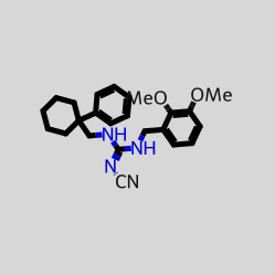 COc1cccc(CN/C(=N\C#N)NCC2(c3ccccc3)CCCCC2)c1OC